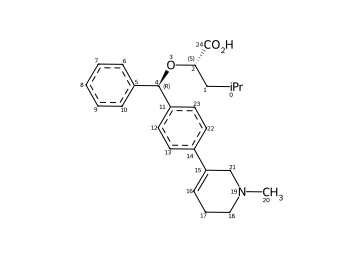 CC(C)C[C@H](O[C@H](c1ccccc1)c1ccc(C2=CCCN(C)C2)cc1)C(=O)O